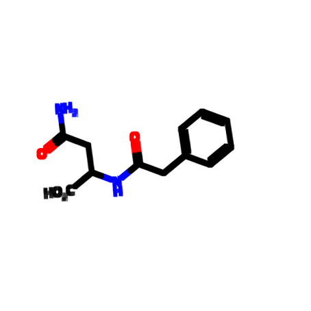 NC(=O)CC(NC(=O)Cc1ccccc1)C(=O)O